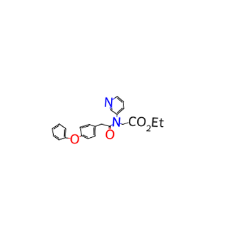 CCOC(=O)CN(C(=O)Cc1ccc(Oc2ccccc2)cc1)c1cccnc1